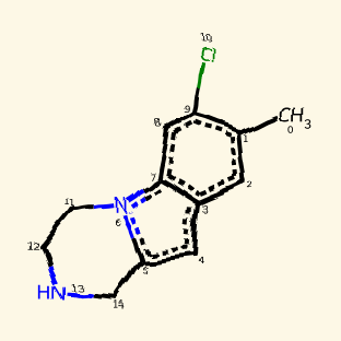 Cc1cc2cc3n(c2cc1Cl)CCNC3